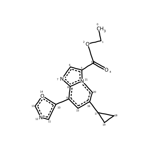 CCOC(=O)c1cnc2c(-c3cnco3)cc(C3CC3)cn12